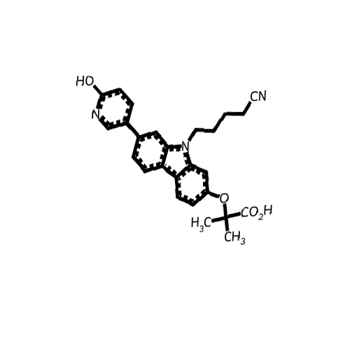 CC(C)(Oc1ccc2c3ccc(-c4ccc(O)nc4)cc3n(CCCCC#N)c2c1)C(=O)O